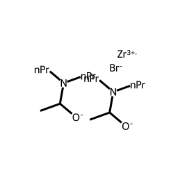 CCCN(CCC)C(C)[O-].CCCN(CCC)C(C)[O-].[Br-].[Zr+3]